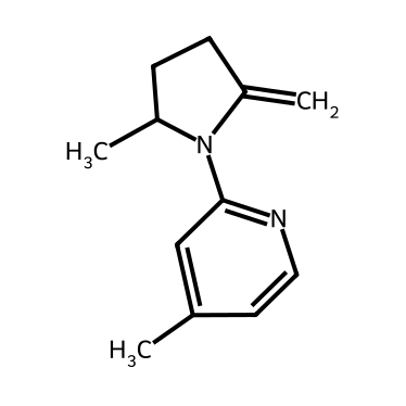 C=C1CCC(C)N1c1cc(C)ccn1